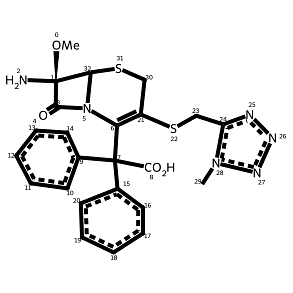 CO[C@]1(N)C(=O)N2C(C(C(=O)O)(c3ccccc3)c3ccccc3)=C(SCc3nnnn3C)CSC21